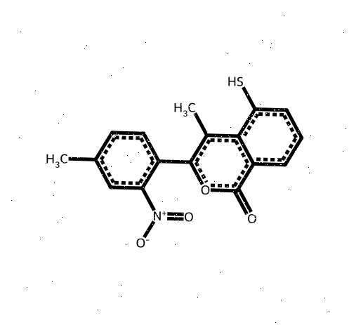 Cc1ccc(-c2oc(=O)c3cccc(S)c3c2C)c([N+](=O)[O-])c1